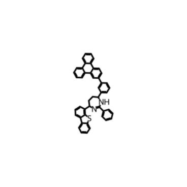 c1ccc(C2=NC(c3cccc4c3sc3ccccc34)CCC(c3cccc(-c4ccc5c6ccccc6c6ccccc6c5c4)c3)N2)cc1